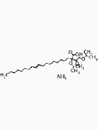 CCCCCCCCC=CCCCCCCCCC(OC(C)C)(C(=O)O)C(=O)COC(C)C.[AlH3]